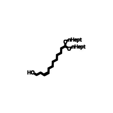 CCCCCCCOC(CCCCCCC/C=C\CCO)OCCCCCCC